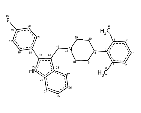 Cc1cccc(C)c1C1CCN(Cc2c(-c3ccc(F)cc3)[nH]c3ccccc23)CC1